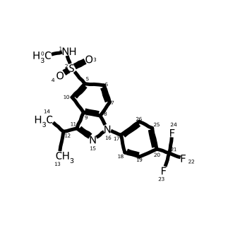 CNS(=O)(=O)c1ccc2c(c1)c(C(C)C)nn2-c1ccc(C(F)(F)F)cc1